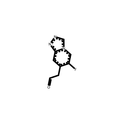 O=CCc1cc2nncn2cc1F